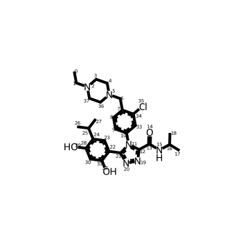 CCN1CCN(Cc2ccc(-n3c(C(=O)NC(C)C)nnc3-c3cc(C(C)C)c(O)cc3O)cc2Cl)CC1